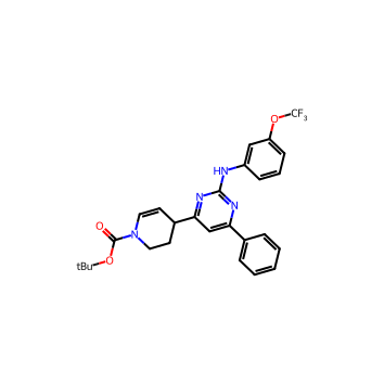 CC(C)(C)OC(=O)N1C=CC(c2cc(-c3ccccc3)nc(Nc3cccc(OC(F)(F)F)c3)n2)CC1